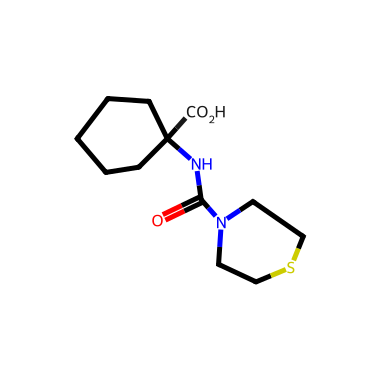 O=C(NC1(C(=O)O)CCCCC1)N1CCSCC1